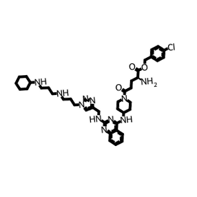 N[C@@H](CCC(=O)N1CCC(Nc2nc(NCc3cn(CCCNCCCNC4CCCCC4)nn3)nc3ccccc23)CC1)C(=O)OCc1ccc(Cl)cc1